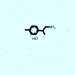 Cc1ccc(C(C)CN)cc1.Cl